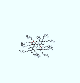 CCCCc1ccc(P(c2ccc(CCCC)c(CCCC)c2CCCC)c2ccc3ccccc3c2-c2c(P(c3ccc(CCCC)c(CCCC)c3CCCC)c3ccc(CCCC)c(CCCC)c3CCCC)ccc3ccccc23)c(CCCC)c1CCCC